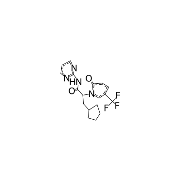 O=C(Nc1ncccn1)C(CC1CCCC1)n1cc(C(F)(F)F)ccc1=O